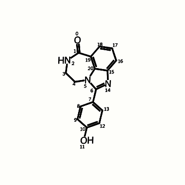 O=C1NCCn2c(-c3ccc(O)cc3)nc3cccc1c32